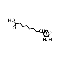 CCCCCCCC(=O)O.[NaH].c1ccoc1